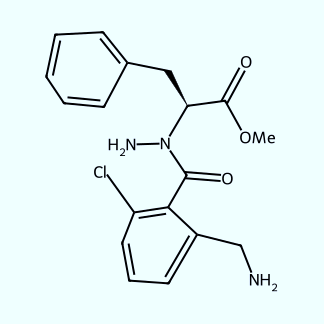 COC(=O)[C@H](Cc1ccccc1)N(N)C(=O)c1c(Cl)cccc1CN